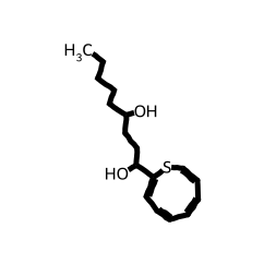 CCCCCC(O)CCC(O)c1cccccccs1